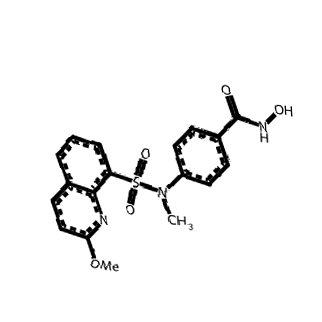 COc1ccc2cccc(S(=O)(=O)N(C)c3ccc(C(=O)NO)cc3)c2n1